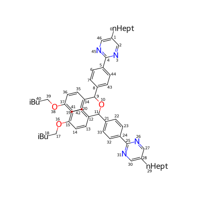 CCCCCCCc1cnc(-c2ccc(C(OC(c3ccc(OCC(C)CC)cc3)c3ccc(-c4ncc(CCCCCCC)cn4)cc3)c3ccc(OCC(C)CC)cc3)cc2)nc1